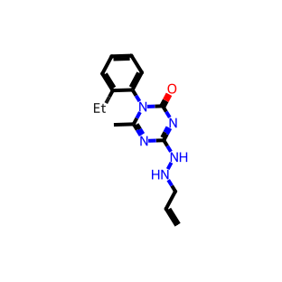 C=CCNNc1nc(C)n(-c2ccccc2CC)c(=O)n1